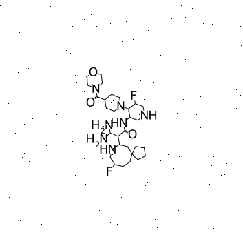 NC(N)C(C(=O)NC1CNCC(F)C1N1CCC(C(=O)N2CCOCC2)CC1)C1CC2(CCCC2)CCC(F)CN1